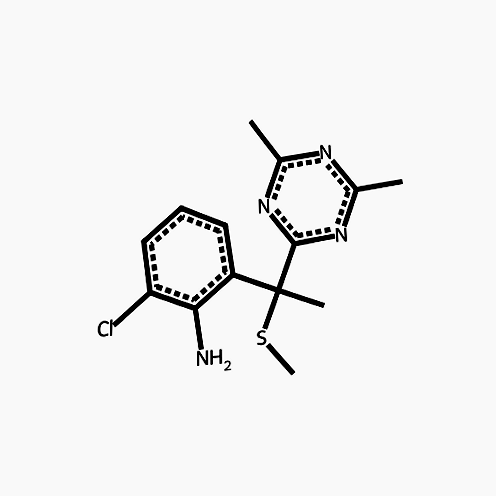 CSC(C)(c1nc(C)nc(C)n1)c1cccc(Cl)c1N